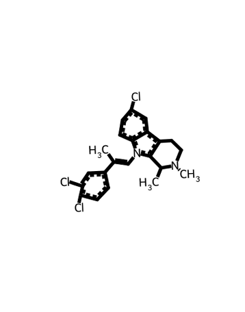 CC(=Cn1c2c(c3cc(Cl)ccc31)CCN(C)C2C)c1ccc(Cl)c(Cl)c1